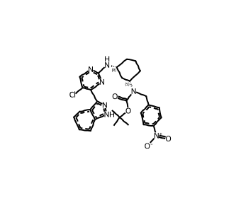 CC(C)(C)OC(=O)N(Cc1ccc([N+](=O)[O-])cc1)[C@H]1CCC[C@@H](Nc2ncc(Cl)c(-c3n[nH]c4ccccc34)n2)C1